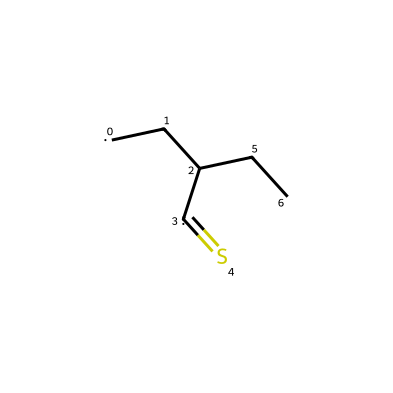 [CH2]CC([C]=S)CC